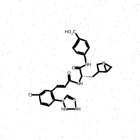 O=C(/C=C/c1cc(Cl)ccc1N1C=NNN1)N[C@@H](CC1CN2CC12)C(=O)Nc1ccc(C(=O)O)cc1